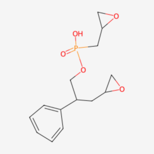 O=P(O)(CC1CO1)OCC(CC1CO1)c1ccccc1